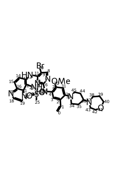 C=Cc1cc(Nc2ncc(Br)c(Nc3ccc4nccnc4c3NS(C)(=O)=O)n2)c(OC)cc1N1CCC(N2CCCOCC2)CC1